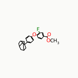 COC(=O)c1ccc(Oc2ccc(C34CC5CC(CC(C5)C3)C4)cc2)c(F)c1